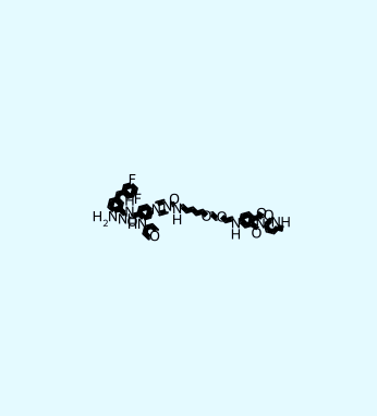 C=C1CCC(N2C(=O)c3ccc(NCCOCCOCCCCCNC(=O)N4CCN(c5ccc(C(=O)NC(=N)c6cc(Cc7cc(F)cc(F)c7)ccc6N)c(NC6CCOCC6)c5)CC4)cc3C2=O)C(=O)N1